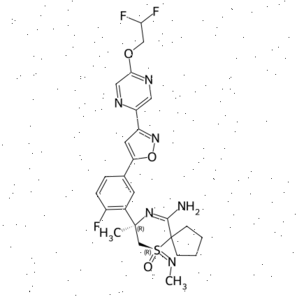 CN=[S@@]1(=O)C[C@@](C)(c2cc(-c3cc(-c4cnc(OCC(F)F)cn4)no3)ccc2F)N=C(N)C12CCCC2